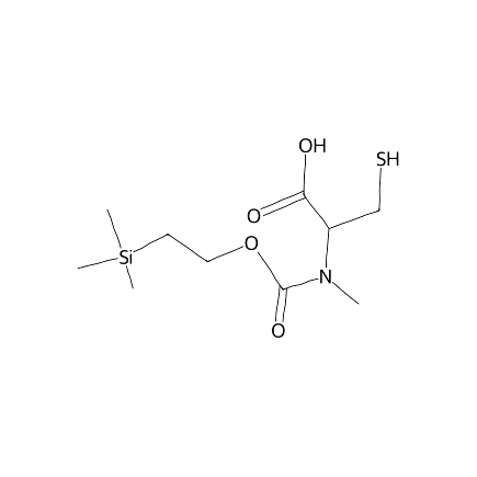 CN(C(=O)OCC[Si](C)(C)C)C(CS)C(=O)O